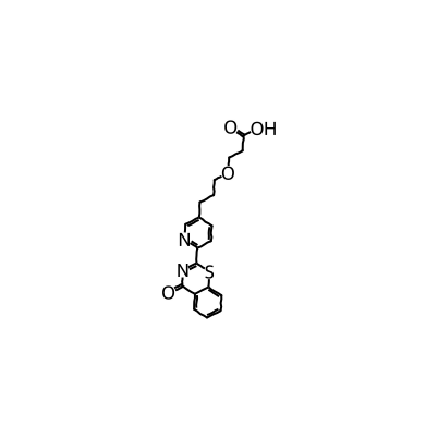 O=C(O)CCOCCCc1ccc(-c2nc(=O)c3ccccc3s2)nc1